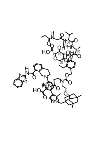 CCC(=O)NCC(=O)N[C@H](C(=O)N[C@@H](C)C(=O)Nc1ccc(COC(=O)N(CCOC23CC4(C)CC(C)(CC(Cn5ncc(-c6ccc(N7CCc8cccc(C(=O)Nc9nc%10ccccc%10s9)c8C7)nc6C(=O)O)c5C)(C4)C2)C3)CCC(N)=O)c(CC[C@@H]2O[C@H](C(=O)O)[C@@H](O)[C@H](O)[C@H]2O)c1)C(C)C